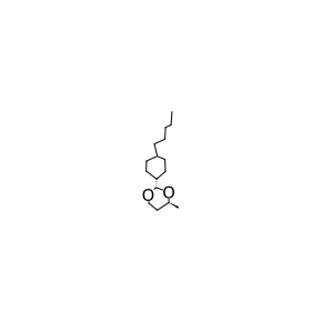 CCCCCC1CCC([C@H]2OCC[C@H](C)O2)CC1